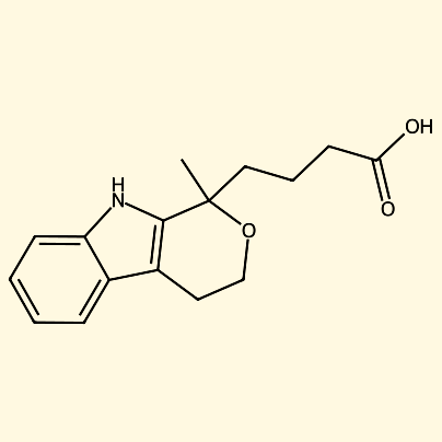 CC1(CCCC(=O)O)OCCc2c1[nH]c1ccccc21